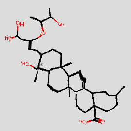 CC1CCC2(C(=O)O)CCC3C(=CCC4C3(C)CCC3C4(C)CCC(CC(OC(C)C(C)O)C(O)O)[C@@]3(C)O)C2C1